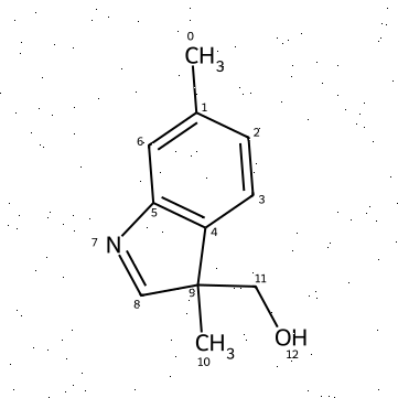 Cc1ccc2c(c1)N=CC2(C)CO